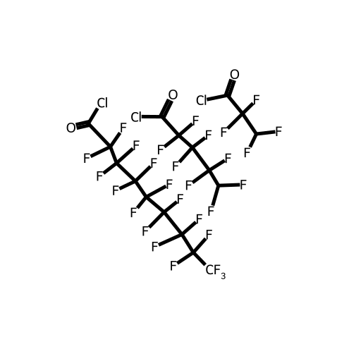 O=C(Cl)C(F)(F)C(F)(F)C(F)(F)C(F)(F)C(F)(F)C(F)(F)C(F)(F)C(F)(F)F.O=C(Cl)C(F)(F)C(F)(F)C(F)(F)C(F)F.O=C(Cl)C(F)(F)C(F)F